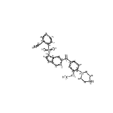 COc1cc(Nc2cc3c(ccn3S(=O)(=O)c3ccccc3C#N)cn2)ccc1N1CCNCC1